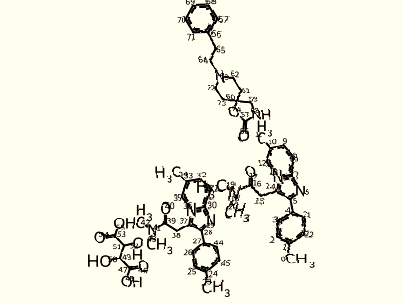 Cc1ccc(-c2nc3ccc(C)cn3c2CC(=O)N(C)C)cc1.Cc1ccc(-c2nc3ccc(C)cn3c2CC(=O)N(C)C)cc1.O=C(O)C(O)C(O)C(=O)O.O=C1NCC2(CCN(CCc3ccccc3)CC2)O1